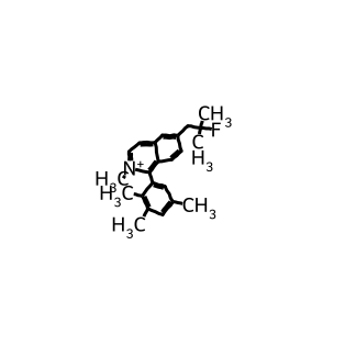 Cc1cc(C)c(C)c(-c2c3ccc(CC(C)(C)F)cc3cc[n+]2C)c1